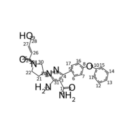 NC(=O)c1c(-c2ccc(Oc3ccccc3)cc2)nn([C@@H]2CCN(C(=O)C=CCO)C2)c1N